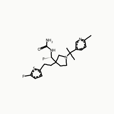 Cc1ccc(C(C)(C)N2CCC(CCc3ccc(F)s3)([C@H](F)NC(N)=O)C2)cn1